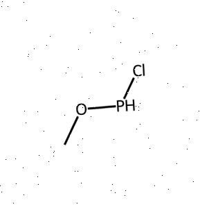 COPCl